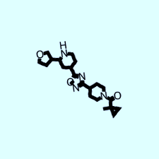 CC1(C(=O)N2CCC(c3noc(C4CCNC(C5CCOC5)C4)n3)CC2)CC1